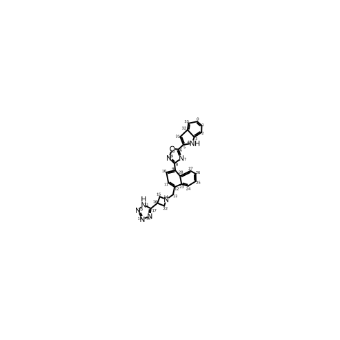 c1ccc2[nH]c(-c3nc(-c4ccc(CN5CC(c6nnn[nH]6)C5)c5ccccc45)no3)cc2c1